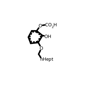 CCCCCCCCOc1cccc(OC(=O)O)c1O